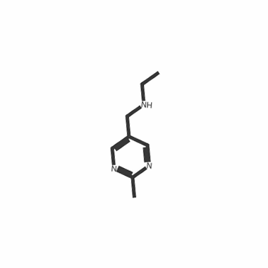 CCNCc1cnc(C)nc1